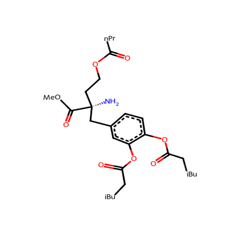 CCCC(=O)OCC[C@@](N)(Cc1ccc(OC(=O)CC(C)CC)c(OC(=O)CC(C)CC)c1)C(=O)OC